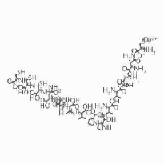 CC(C)[C@H](N)C(=O)O.CC(C)[C@H](N)C(=O)O.CC(C)[C@H](N)C(=O)O.CC(C)[C@H](N)C(=O)O.C[C@H](N)C(=O)O.C[C@H](N)C(=O)O.NC(=O)C[C@H](N)C(=O)O.NC(=O)C[C@H](N)C(=O)O.N[C@@H](CS)C(=O)O.N[C@@H](CS)C(=O)O.N[C@@H](CS)C(=O)[O-].N[C@@H](CS)C(=O)[O-].O=C(O)[C@@H]1CCCN1.O=C(O)[C@@H]1CCCN1.[Cu+2]